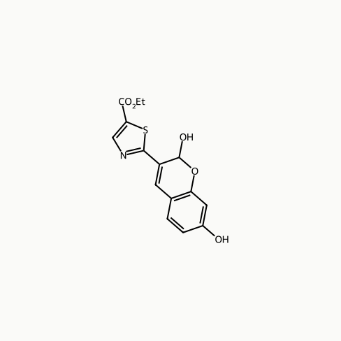 CCOC(=O)c1cnc(C2=Cc3ccc(O)cc3OC2O)s1